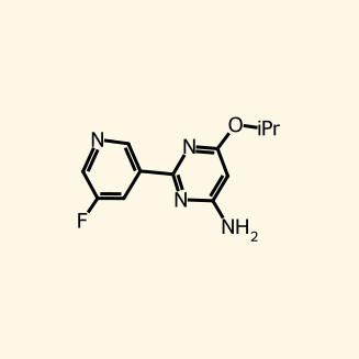 CC(C)Oc1cc(N)nc(-c2cncc(F)c2)n1